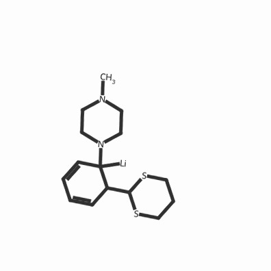 [Li][C]1(N2CCN(C)CC2)C=CC=CC1C1SCCCS1